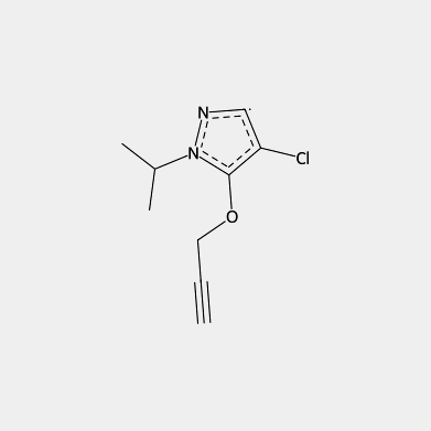 C#CCOc1c(Cl)[c]nn1C(C)C